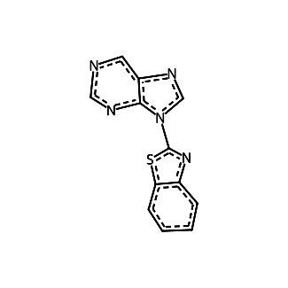 c1ccc2sc(-n3cnc4cncnc43)nc2c1